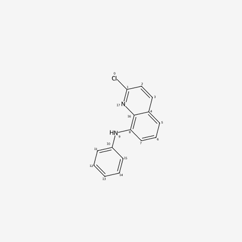 Clc1ccc2cccc(Nc3ccccc3)c2n1